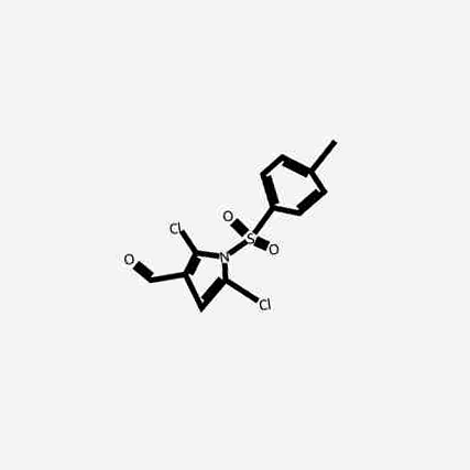 Cc1ccc(S(=O)(=O)n2c(Cl)cc(C=O)c2Cl)cc1